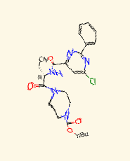 CCCCOC(=O)N1CCN(C(=O)[C@H](CC#N)NC(=O)c2cc(Cl)nc(-c3ccccc3)n2)CC1